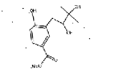 COC(=O)c1ccc(O)c(CC(O)C(C)(C)O)c1